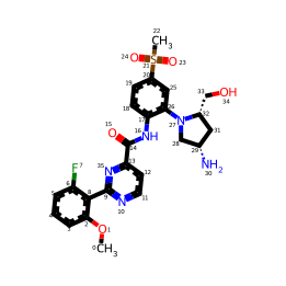 COc1cccc(F)c1-c1nccc(C(=O)Nc2ccc(S(C)(=O)=O)cc2N2C[C@@H](N)C[C@H]2CO)n1